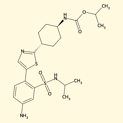 CC(C)NS(=O)(=O)c1cc(N)ccc1-c1cnc([C@H]2CC[C@H](NC(=O)OC(C)C)CC2)s1